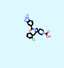 O=C(O)N1CCC2(CC1)CN(C(=O)c1ccc3[nH]nnc3c1)C2Cc1ccccc1Cl